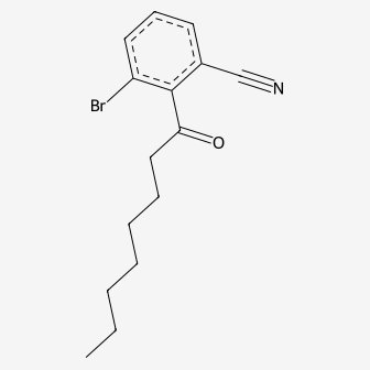 CCCCCCCC(=O)c1c(Br)cccc1C#N